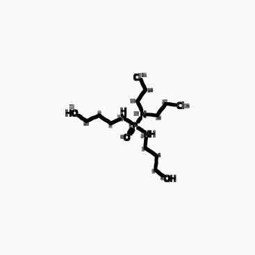 O=P(NCCCO)(NCCCO)N(CCCl)CCCl